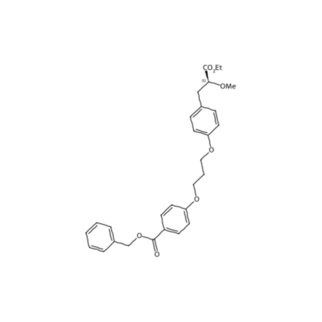 CCOC(=O)[C@H](Cc1ccc(OCCCOc2ccc(C(=O)OCc3ccccc3)cc2)cc1)OC